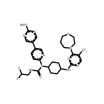 COc1ncc(-c2ccc(N(C(=O)NCC(F)F)C3CCC(Nc4ncc(C(F)(F)F)c(N5CCCOCC5)n4)CC3)nc2)cn1